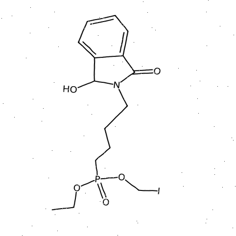 CCOP(=O)(CCCCN1C(=O)c2ccccc2C1O)OCI